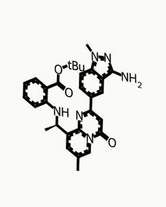 Cc1cc([C@@H](C)Nc2ccccc2C(=O)OC(C)(C)C)c2nc(-c3ccc4c(c3)c(N)nn4C)cc(=O)n2c1